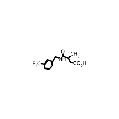 CC(CC(=O)O)C(=O)NCc1cccc(C(F)(F)F)c1